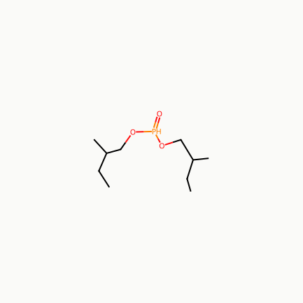 CCC(C)CO[PH](=O)OCC(C)CC